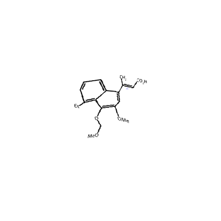 CCc1cccc2c(/C(C)=C/C(=O)O)cc(OC)c(OCOC)c12